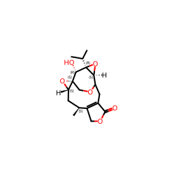 CC(C)[C@]12O[C@H]1C1CC3=C(COC3=O)[C@@H](C)C[C@@H]3O[C@@]3(CO1)[C@@H]2O